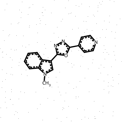 Cn1cc(-c2nnc(-c3ccncc3)o2)c2ccccc21